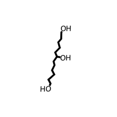 OCCCCCCC(O)CCCCCO